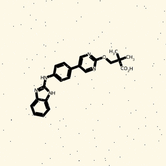 CC(C)(COc1ncc(-c2ccc(Nc3nc4ccccc4[nH]3)cc2)cn1)C(=O)O